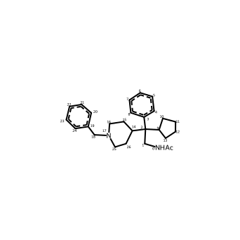 CC(=O)NCC(c1ccccc1)(C1CCCC1)C1CCN(Cc2ccccc2)CC1